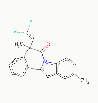 Cc1ccc2c(c1)cc1n2C(=O)C(C)(C=C(F)F)c2ccccc2-1